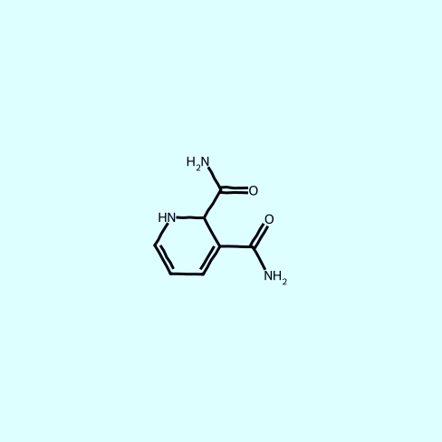 NC(=O)C1=CC=CNC1C(N)=O